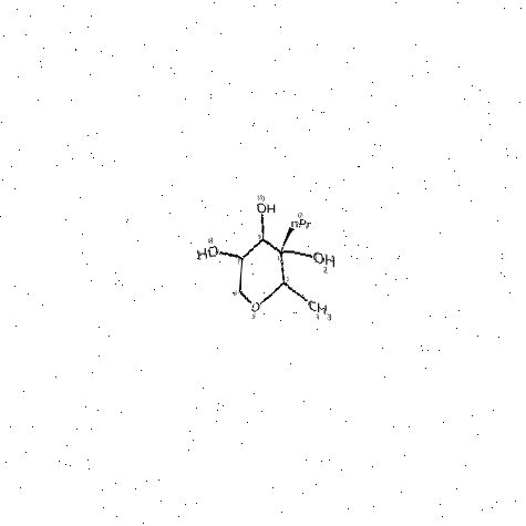 CCC[C@@]1(O)C(C)OCC(O)C1O